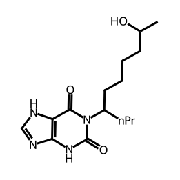 CCCC(CCCCC(C)O)n1c(=O)[nH]c2nc[nH]c2c1=O